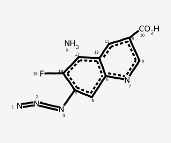 N.[N-]=[N+]=Nc1cc2ncc(C(=O)O)cc2cc1F